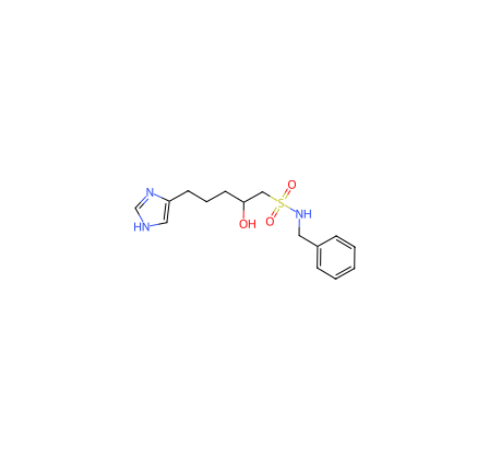 O=S(=O)(CC(O)CCCc1c[nH]cn1)NCc1ccccc1